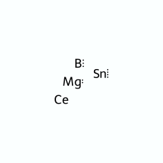 [B].[Ce].[Mg].[Sn]